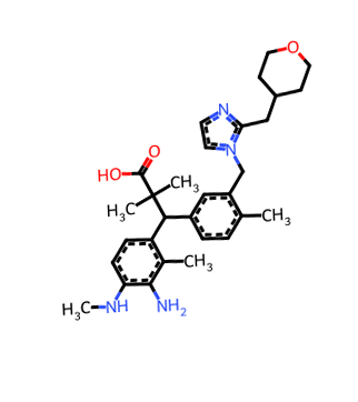 CNc1ccc(C(c2ccc(C)c(Cn3ccnc3CC3CCOCC3)c2)C(C)(C)C(=O)O)c(C)c1N